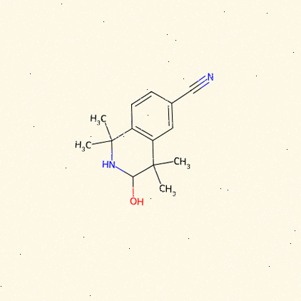 CC1(C)NC(O)C(C)(C)c2cc(C#N)ccc21